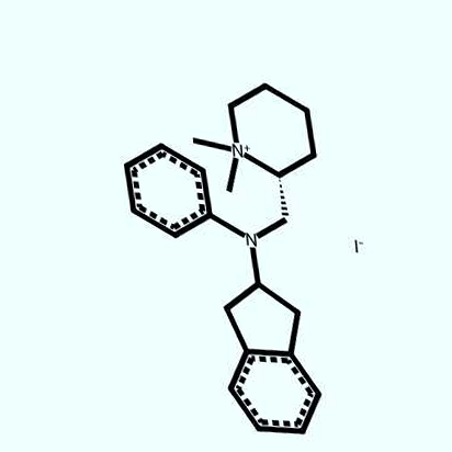 C[N+]1(C)CCCC[C@@H]1CN(c1ccccc1)C1Cc2ccccc2C1.[I-]